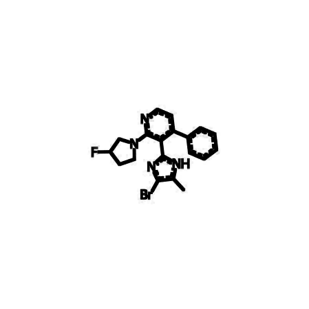 Cc1[nH]c(-c2c(-c3ccccc3)ccnc2N2CCC(F)C2)nc1Br